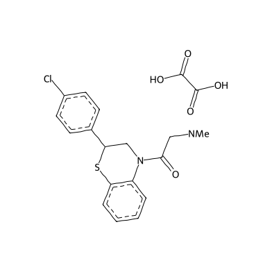 CNCC(=O)N1CC(c2ccc(Cl)cc2)Sc2ccccc21.O=C(O)C(=O)O